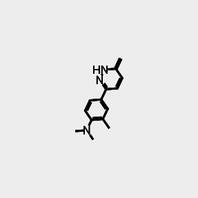 C=C1C=CC(c2ccc(N(C)C)c(C)c2)=NN1